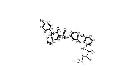 CN(CCO)C(=O)Nc1cc(Oc2ccc(NC(=O)c3cc4ncsc4n(-c4ccc(F)cc4)c3=O)cc2F)ccn1